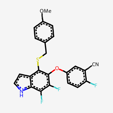 COc1ccc(CSc2c(Oc3ccc(F)c(C#N)c3)c(F)c(F)c3[nH]ccc23)cc1